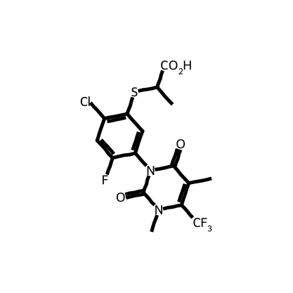 Cc1c(C(F)(F)F)n(C)c(=O)n(-c2cc(SC(C)C(=O)O)c(Cl)cc2F)c1=O